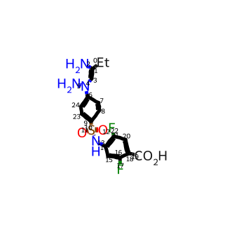 CC/C(N)=C/N(N)c1ccc(S(=O)(=O)Nc2cc(F)c(C(=O)O)cc2F)cc1